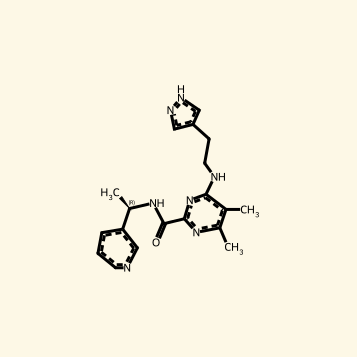 Cc1nc(C(=O)N[C@H](C)c2cccnc2)nc(NCCc2cn[nH]c2)c1C